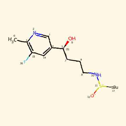 Cc1ncc([C@@H](O)CCCN[S+]([O-])C(C)(C)C)cc1F